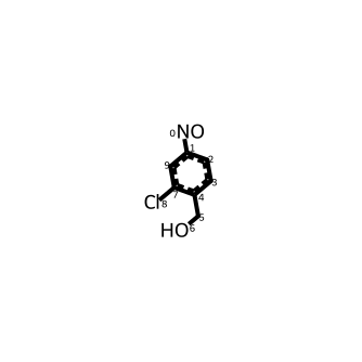 O=Nc1ccc(CO)c(Cl)c1